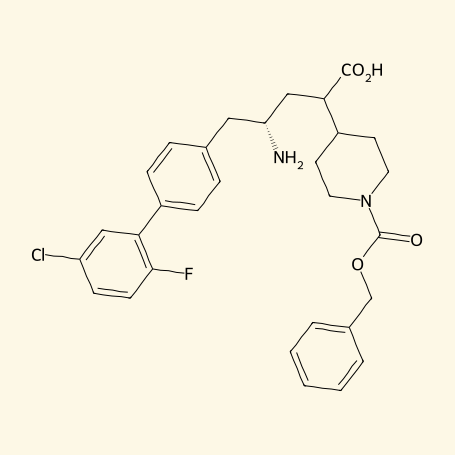 N[C@H](Cc1ccc(-c2cc(Cl)ccc2F)cc1)CC(C(=O)O)C1CCN(C(=O)OCc2ccccc2)CC1